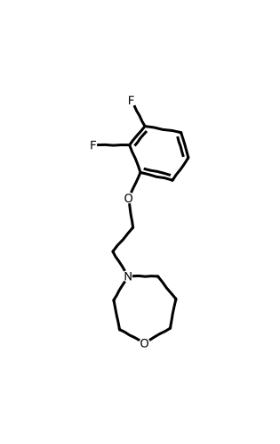 Fc1cccc(OCCN2CCCOCC2)c1F